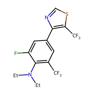 CCN(CC)c1c(F)cc(-c2n[c]sc2C(F)(F)F)cc1C(F)(F)F